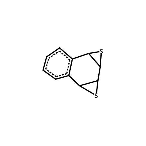 c1ccc2c(c1)C1SC1C1SC21